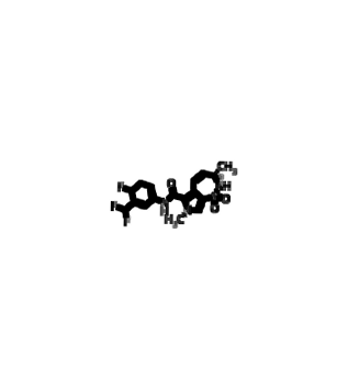 C[C@H]1C=Cc2c(cn(C)c2C(=O)NC2=CCC(F)C(C(F)F)=C2)S(=O)(=O)N1